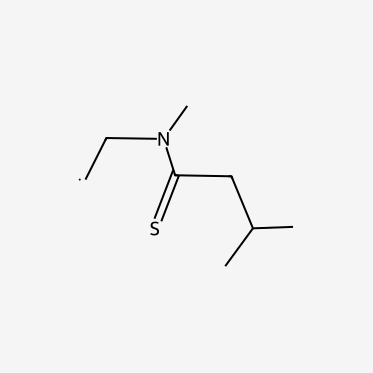 [CH2]CN(C)C(=S)CC(C)C